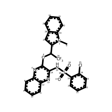 Cn1c(C(Oc2nc3ccccc3nc2NS(=O)(=O)c2ccccc2Cl)C(F)(F)F)cc2ccccc21